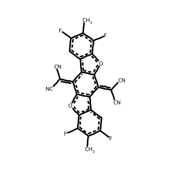 Cc1c(F)cc2c(oc3c(=C(C#N)C#N)c4c(oc5c(F)c(C)c(F)cc54)c(=C(C#N)C#N)c32)c1F